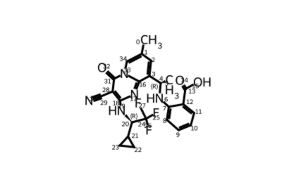 Cc1cc([C@@H](C)Nc2ccccc2C(=O)O)c2nc(N[C@H](C3CC3)C(F)(F)F)c(C#N)c(=O)n2c1